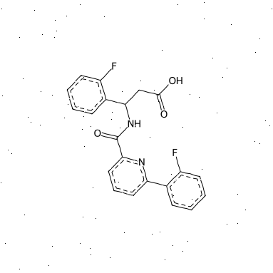 O=C(O)CC(NC(=O)c1cccc(-c2ccccc2F)n1)c1ccccc1F